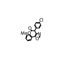 COC(=O)C(c1ccc(Cl)cc1)c1ncoc1-c1ccccc1